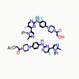 CC(=O)OCC(=O)N1CCN(c2ccc(Nc3ncc(F)c(-c4cnc(C)n4C(C)C)n3)cc2)CC1.Cc1ncc(-c2nc(Nc3ccc(N4CCN(C(=O)CO)CC4)cc3)ncc2F)n1C(C)C.Cl